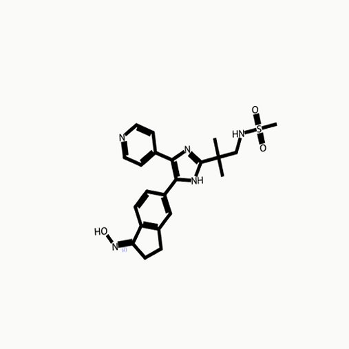 CC(C)(CNS(C)(=O)=O)c1nc(-c2ccncc2)c(-c2ccc3c(c2)CC/C3=N/O)[nH]1